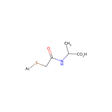 CC(=O)SCC(=O)NC(C)C(=O)O